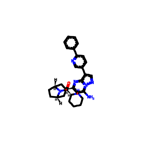 Nc1cc([C@@H]2C[C@H]3CC[C@@H](C2)N3C(=O)[C@H]2CCCCN2)nc2c(-c3ccc(-c4ccccc4)nc3)cnn12